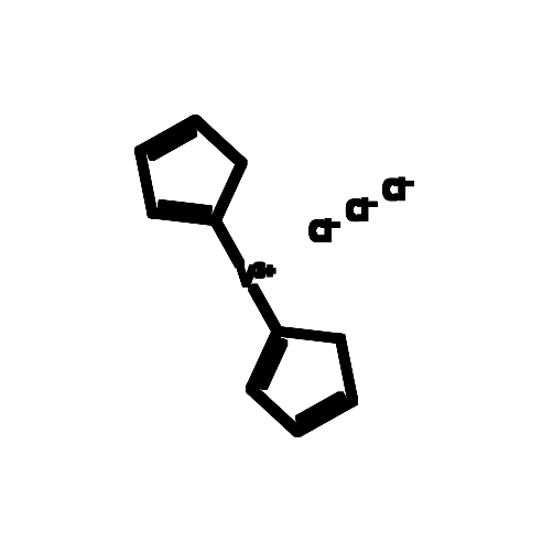 C1=CC[C]([V+3][C]2=CC=CC2)=C1.[Cl-].[Cl-].[Cl-]